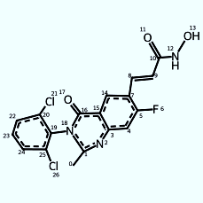 Cc1nc2cc(F)c(/C=C/C(=O)NO)cc2c(=O)n1-c1c(Cl)cccc1Cl